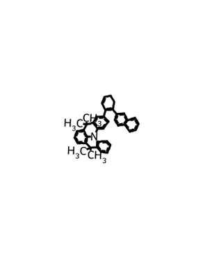 CC1(C)c2ccccc2N2c3ccc(C4=C(c5ccc6ccccc6c5)CCC=C4)cc3C(C)(C)c3cccc1c32